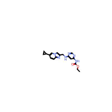 CCOC(=O)Nc1cc(NCc2cn3cc(C4CC4)ccc3n2)ncn1